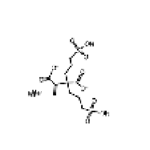 C=C(C(=O)[O-])C(CCCS(=O)(=O)O)(CCCS(=O)(=O)O)C(=O)[O-].[Na+].[Na+]